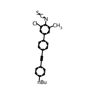 CCCCc1ccc(C#Cc2ccc(-c3cc(C)c(N=C=S)c(Cl)c3)cc2)cc1